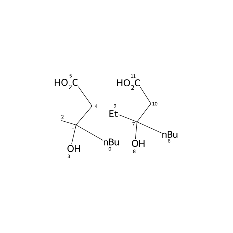 CCCCC(C)(O)CC(=O)O.CCCCC(O)(CC)CC(=O)O